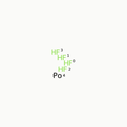 F.F.F.F.[Po]